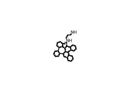 N=C/C=C\Nn1c2cccc3c2c2c4c(cc5ccccc5c4c4ccccc4c21)-c1ccccc1-3